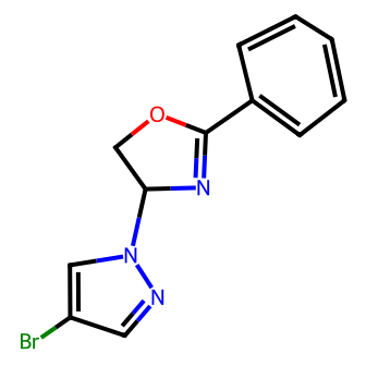 Brc1cnn(C2COC(c3ccccc3)=N2)c1